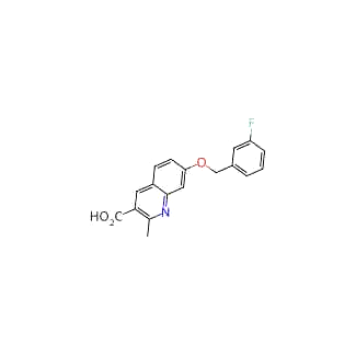 Cc1nc2cc(OCc3cccc(F)c3)ccc2cc1C(=O)O